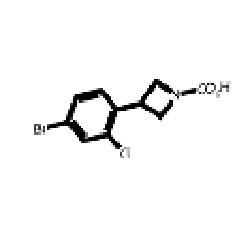 O=C(O)N1CC(c2ccc(Br)cc2Cl)C1